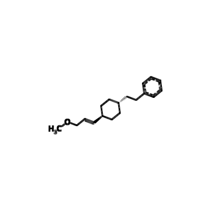 COC/C=C/[C@H]1CC[C@H](CCc2ccccc2)CC1